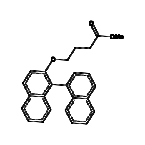 COC(=O)CCCOc1ccc2ccccc2c1-c1cccc2ccccc12